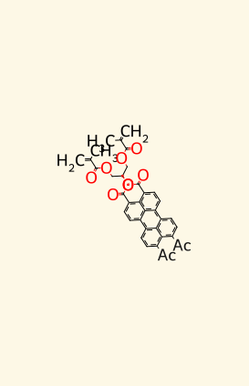 C=C(C)C(=O)OCCOC(=O)c1ccc2c3ccc(C(C)=O)c4c(C(C)=O)ccc(c5ccc(C(=O)OCCOC(=O)C(=C)C)c1c25)c43